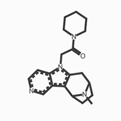 CN1C2CCC1c1c(n(CC(=O)N3CCCCC3)c3ccncc13)C2